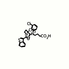 CC1(C(=O)N(CCCC(=O)O)c2cccc(Cl)c2)CCN1C(=O)c1csc2ccccc12